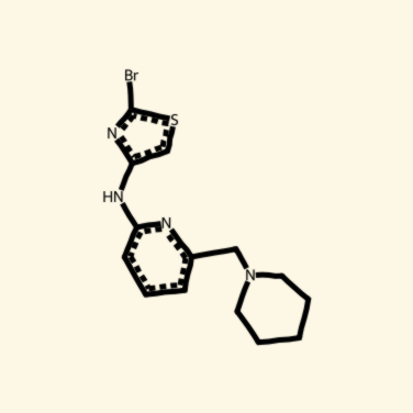 Brc1nc(Nc2cccc(CN3CCCCC3)n2)cs1